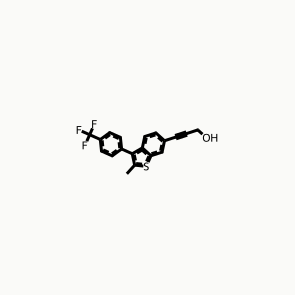 Cc1sc2cc(C#CCO)ccc2c1-c1ccc(C(F)(F)F)cc1